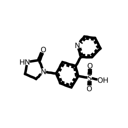 O=C1NCCN1c1ccc(S(=O)(=O)O)c(-c2ccccn2)c1